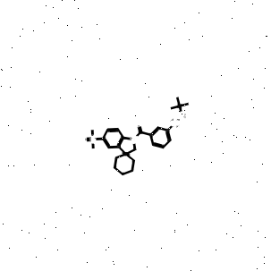 CC(C)(C)NS(=O)(=O)c1cccc(C(=O)N2CC3(CCCCC3)c3cc(P(C)(C)=O)ccc32)c1